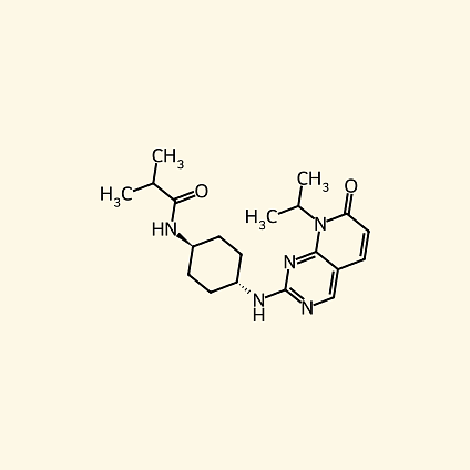 CC(C)C(=O)N[C@H]1CC[C@H](Nc2ncc3ccc(=O)n(C(C)C)c3n2)CC1